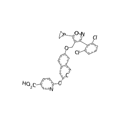 O=C(O)c1ccc(Oc2ccc3cc(OCc4c(-c5c(Cl)cccc5Cl)noc4P4CC4)ccc3c2)nc1